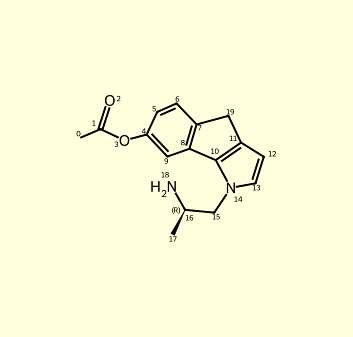 CC(=O)Oc1ccc2c(c1)-c1c(ccn1C[C@@H](C)N)C2